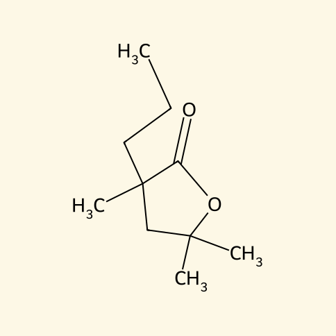 CCCC1(C)CC(C)(C)OC1=O